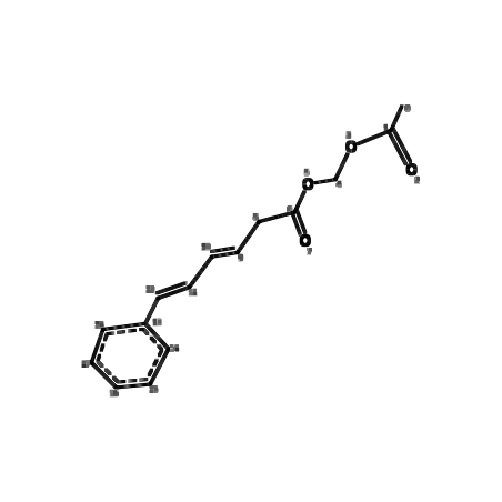 CC(=O)OCOC(=O)CC=CC=Cc1ccccc1